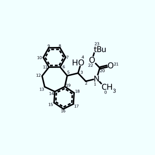 CN(CC(O)C1c2ccccc2CCc2ccccc21)C(=O)OC(C)(C)C